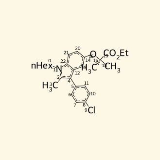 CCCCCCn1c(C)c(-c2ccc(Cl)cc2)c2cc(OC(C)(C)C(=O)OCC)ccc21